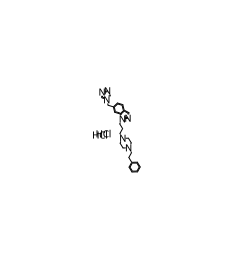 Cl.Cl.c1ccc(CCN2CCN(CCCn3ncc4ccc(Cn5cnnc5)cc43)CC2)cc1